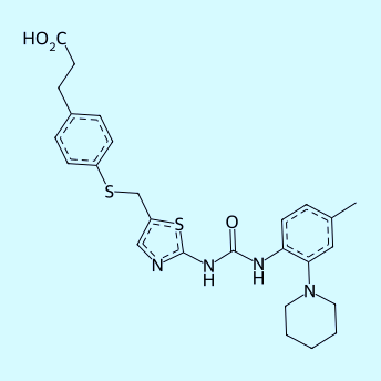 Cc1ccc(NC(=O)Nc2ncc(CSc3ccc(CCC(=O)O)cc3)s2)c(N2CCCCC2)c1